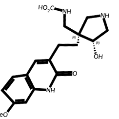 COc1ccc2cc(CC[C@]3(CNC(=O)O)CNC[C@@H]3O)c(=O)[nH]c2c1